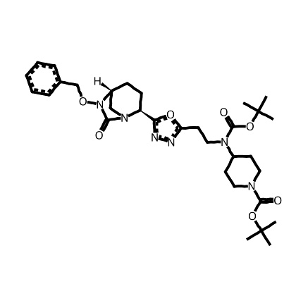 CC(C)(C)OC(=O)N1CCC(N(CCc2nnc([C@@H]3CC[C@@H]4CN3C(=O)N4OCc3ccccc3)o2)C(=O)OC(C)(C)C)CC1